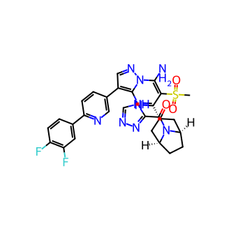 CS(=O)(=O)c1c([C@@H]2C[C@H]3CC[C@@H](C2)N3C(=O)c2nnc[nH]2)nc2c(-c3ccc(-c4ccc(F)c(F)c4)nc3)cnn2c1N